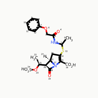 CC(NC(=O)COc1ccccc1)SC1=C(C(=O)O)N2C(=O)[C@@H]([C@H](C)OS(=O)(=O)O)[C@H]2C1